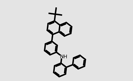 CC(C)(C)c1ccc(-c2cccc(Nc3ccccc3-c3ccccc3)c2)c2ccccc12